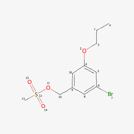 CCCOc1cc(Br)cc(COS(C)(=O)=O)c1